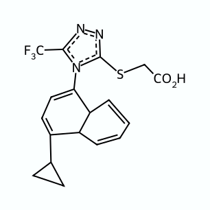 O=C(O)CSc1nnc(C(F)(F)F)n1C1=CC=C(C2CC2)C2C=CC=CC12